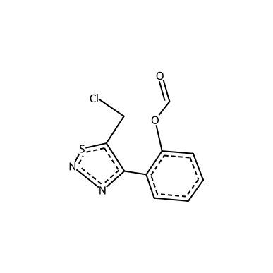 O=COc1ccccc1-c1nnsc1CCl